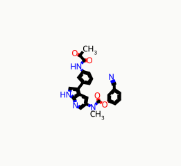 CC(=O)C(=O)Nc1cccc(-c2c[nH]c3ncc(N(C)C(=O)Oc4cccc(C#N)c4)cc23)c1